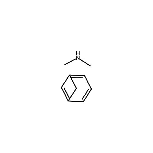 CNC.c1cc2cc(c1)C2